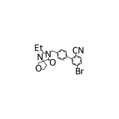 CCC1=NC2(CCOC2)C(=O)N1Cc1ccc(-c2cc(Br)ccc2C#N)cc1